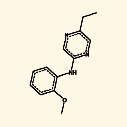 CCc1cnc(Nc2ccccc2OC)cn1